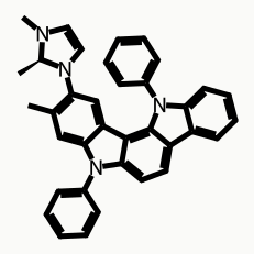 Cc1cc2c(cc1N1C=CN(C)[C@@H]1C)c1c(ccc3c4ccccc4n(-c4ccccc4)c31)n2-c1ccccc1